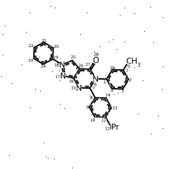 Cc1cccc(-n2c(-c3ccc(C(C)C)cc3)nc3nn(-c4ccccc4)cc3c2=O)c1